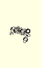 CCCC[C@H](NC(=O)C1(NC(=O)N2CCOCC2)CCCCC1)C(=O)C(=O)N[C@@H](C(C)C)C1(C)OCCO1